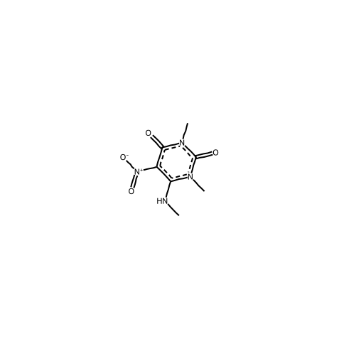 CNc1c([N+](=O)[O-])c(=O)n(C)c(=O)n1C